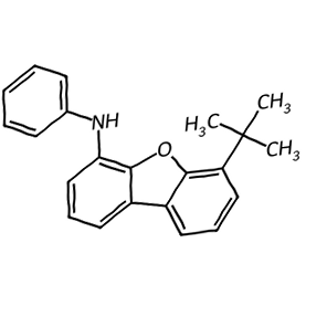 CC(C)(C)c1cccc2c1oc1c(Nc3ccccc3)cccc12